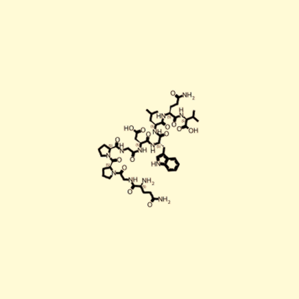 CC(C)C[C@H](NC(=O)[C@H](Cc1c[nH]c2ccccc12)NC(=O)[C@H](CC(=O)O)NC(=O)CNC(=O)[C@@H]1CCCN1C(=O)[C@@H]1CCCN1C(=O)CNC(=O)[C@@H](N)CCC(N)=O)C(=O)N[C@@H](CCC(N)=O)C(=O)N[C@H](C(=O)O)C(C)C